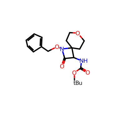 CC(C)(C)OC(=O)NC1C(=O)N(OCc2ccccc2)C12CCOCC2